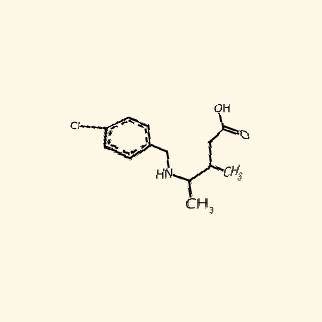 CC(CC(=O)O)C(C)NCc1ccc(Cl)cc1